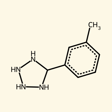 Cc1cccc(C2NNNN2)c1